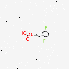 O=C(O)OCC=Cc1cc(F)ccc1F